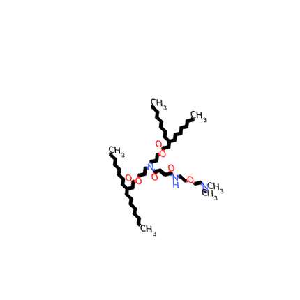 CCCCCCCCC(CCCCCCCC)CC(=O)OCCCN(CCCOC(=O)CC(CCCCCCCC)CCCCCCCC)C(=O)C=CC(=O)NCCOCCN(C)C